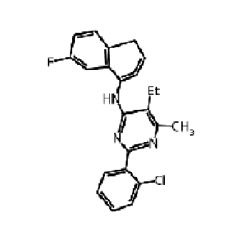 CCc1c(C)nc(-c2ccccc2Cl)nc1NC1=C=CCc2ccc(F)cc21